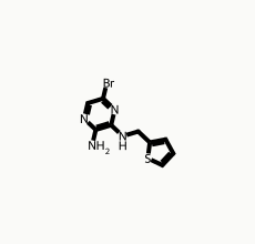 Nc1ncc(Br)nc1NCc1cccs1